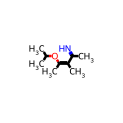 CC(=N)/C(C)=C(/C)OC(C)C